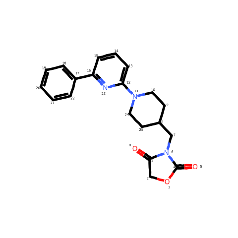 O=C1COC(=O)N1CC1CCN(c2cccc(-c3ccccc3)n2)CC1